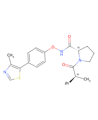 Cc1ncsc1-c1ccc(ONC(=O)[C@@H]2CCCN2C(=O)[C@@H](C)C(C)C)cc1